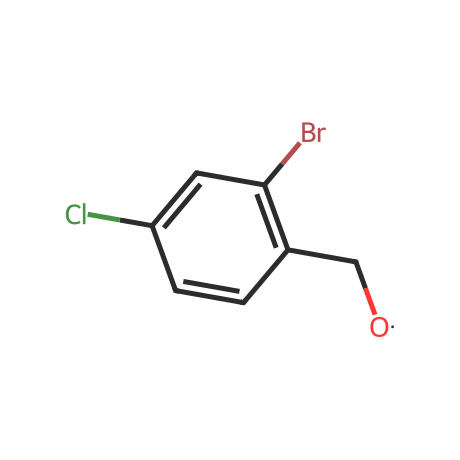 [O]Cc1ccc(Cl)cc1Br